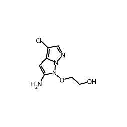 Nc1cc2c(Cl)cnn2n1OCCO